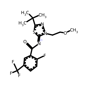 COCCn1nc(C(C)(C)C)s/c1=N\C(=O)c1cc(C(F)(F)F)ccc1F